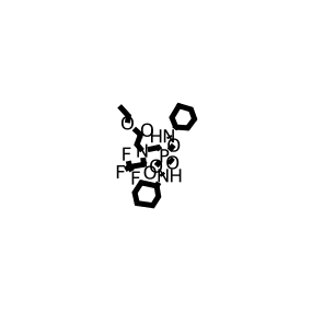 CCOC(=O)CN(CP(=O)(ONC1CCCCC1)ONC1CCCCC1)C(=O)C(F)(F)F